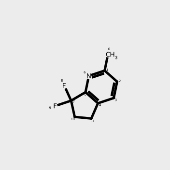 Cc1ccc2c(n1)C(F)(F)CC2